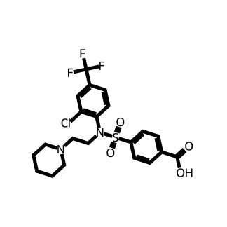 O=C(O)c1ccc(S(=O)(=O)N(CCN2CCCCC2)c2ccc(C(F)(F)F)cc2Cl)cc1